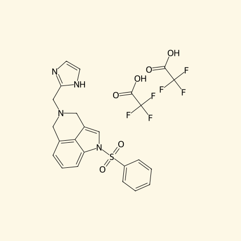 O=C(O)C(F)(F)F.O=C(O)C(F)(F)F.O=S(=O)(c1ccccc1)n1cc2c3c(cccc31)CN(Cc1ncc[nH]1)C2